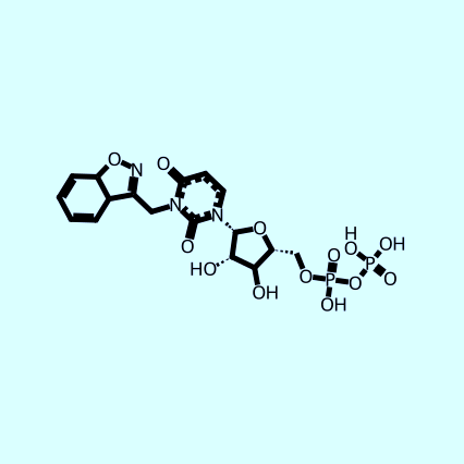 O=c1ccn([C@@H]2O[C@H](COP(=O)(O)OP(=O)(O)O)C(O)[C@@H]2O)c(=O)n1CC1=NOC2C=CC=CC12